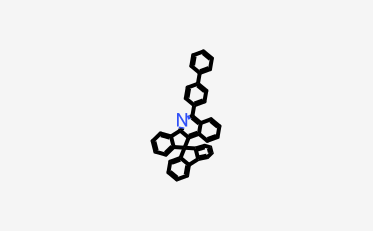 c1ccc(-c2ccc(-c3nc4c(c5ccccc35)C3(c5ccccc5-c5ccccc53)c3ccccc3-4)cc2)cc1